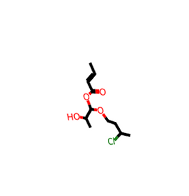 C/C=C/C(=O)OC(OCCC(C)Cl)C(C)O